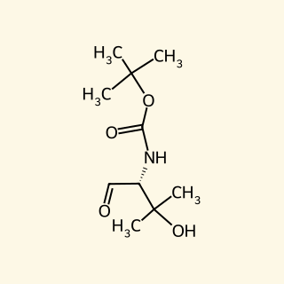 CC(C)(C)OC(=O)N[C@@H](C=O)C(C)(C)O